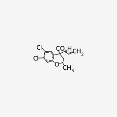 C=CCC1(C(=O)O)CC(C)Oc2cc(Cl)c(Cl)cc21